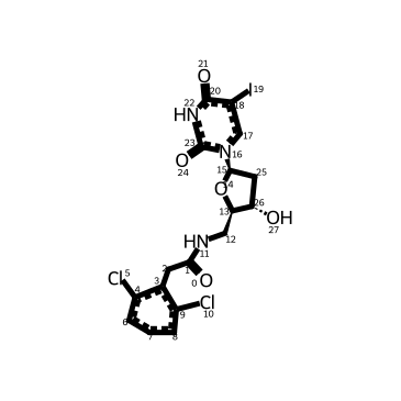 O=C(Cc1c(Cl)cccc1Cl)NC[C@H]1O[C@@H](n2cc(I)c(=O)[nH]c2=O)C[C@@H]1O